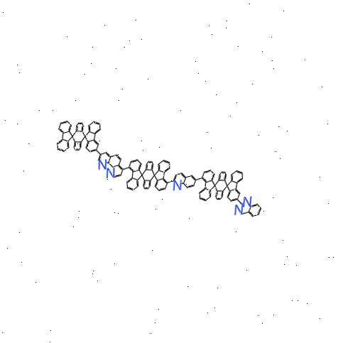 c1ccc2c(c1)-c1ccccc1C21c2ccccc2C2(c3ccccc3-c3cc(-c4cnc5c(ccc6c(-c7cccc8c7-c7ccccc7C87c8ccccc8C8(c9ccccc9-c9c(-c%10ccc%11cc(-c%12cccc%13c%12-c%12ccccc%12C%13%12c%13ccccc%13C%13(c%14ccccc%14-c%14cc(-c%15ncc%16ccccc%16n%15)ccc%14%13)c%13ccccc%13%12)ccc%11n%10)cccc98)c8ccccc87)ccnc65)c4)ccc32)c2ccccc21